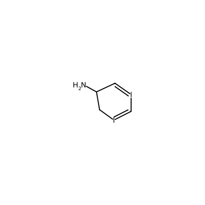 NC1C=IC=IC1